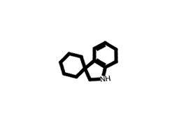 C1=CC2=C(CC1)NCC21CCCCC1